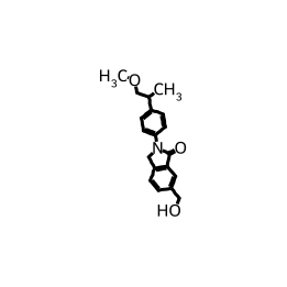 COCC(C)c1ccc(N2Cc3ccc(CO)cc3C2=O)cc1